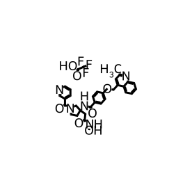 Cc1cc(COc2ccc(C(=O)NC3(CC(=O)NO)CCN(C(=O)c4cccnc4)C3)cc2)c2ccccc2n1.O=C(O)C(F)(F)F